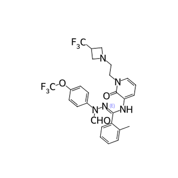 Cc1ccccc1/C(=N\N(C=O)c1ccc(OC(F)(F)F)cc1)Nc1cccn(CCN2CC(C(F)(F)F)C2)c1=O